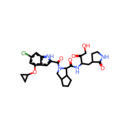 O=C1NCCC1CC(NC(=O)C1C2CCCC2CN1C(=O)c1cc2c(OC3CC3)cc(Cl)cc2[nH]1)C(=O)CO